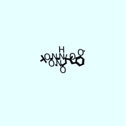 COc1cccc2cc([C@]3(C)CC(=O)N(C)/C(=N\C(=O)OC(C)(C)C)N3)oc12